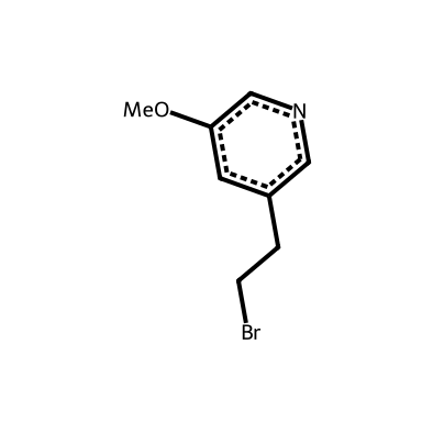 COc1cncc(CCBr)c1